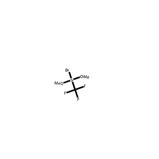 CO[Si](Br)(OC)C(F)(F)F